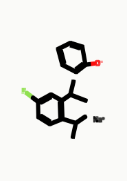 CC(C)c1ccc(F)cc1C(C)C.[Na+].[O-]c1ccccc1